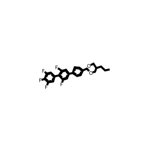 CCCC1COC(c2ccc(-c3cc(F)c(-c4cc(F)c(F)c(F)c4)c(F)c3)cc2)OC1